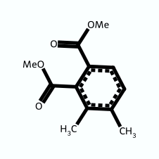 COC(=O)c1ccc(C)c(C)c1C(=O)OC